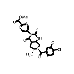 COC(=O)c1ncc(N2C(=O)C3C[C@@H](C)N(C(=O)c4ccc(Cl)c(Cl)c4)CC3NC2=S)cn1